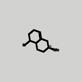 CCC1CCC=C2C[C@@H](OC(C)=O)CCC21